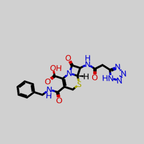 O=C(Cc1nnn[nH]1)NC1C(=O)N2C(C(=O)O)=C(C(=O)NCc3ccccc3)CS[C@@H]12